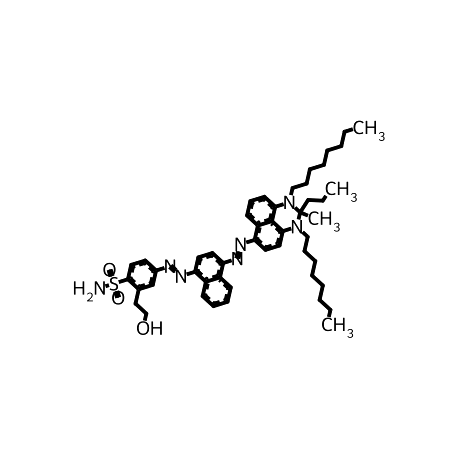 CCCCCCCCN1c2cccc3c(N=Nc4ccc(N=Nc5ccc(S(N)(=O)=O)c(CCO)c5)c5ccccc45)ccc(c23)N(CCCCCCCC)C1(C)CCC